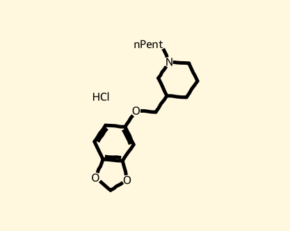 CCCCCN1CCCC(COc2ccc3c(c2)OCO3)C1.Cl